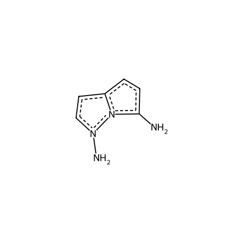 Nc1ccc2ccn(N)n12